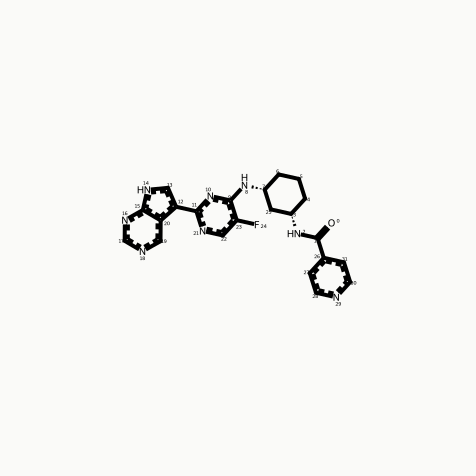 O=C(N[C@H]1CCC[C@@H](Nc2nc(-c3c[nH]c4ncncc34)ncc2F)C1)c1ccncc1